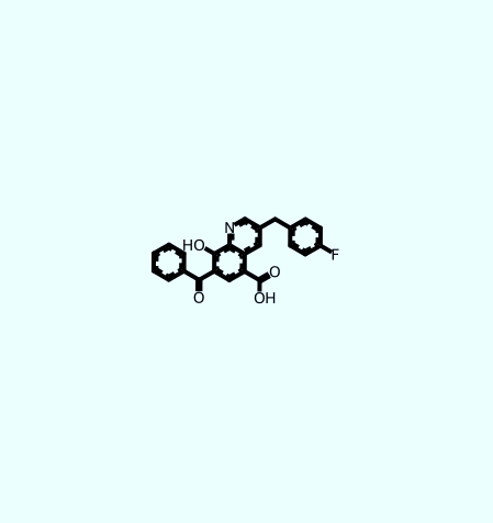 O=C(c1ccccc1)c1cc(C(=O)O)c2cc(Cc3ccc(F)cc3)cnc2c1O